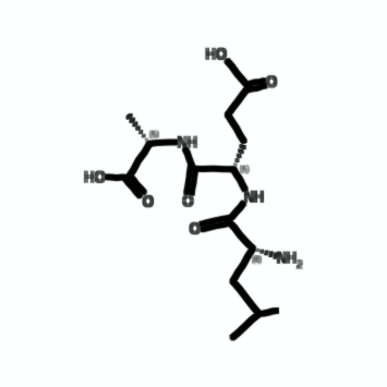 CC(C)C[C@@H](N)C(=O)N[C@@H](CCC(=O)O)C(=O)N[C@@H](C)C(=O)O